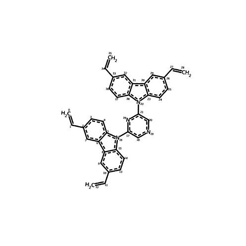 C=Cc1ccc2c(c1)c1cc(C=C)ccc1n2-c1cncc(-n2c3ccc(C=C)cc3c3cc(C=C)ccc32)n1